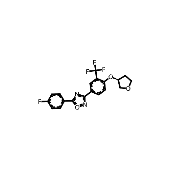 Fc1ccc(-c2nc(-c3ccc(O[C@H]4CCOC4)c(C(F)(F)F)c3)no2)cc1